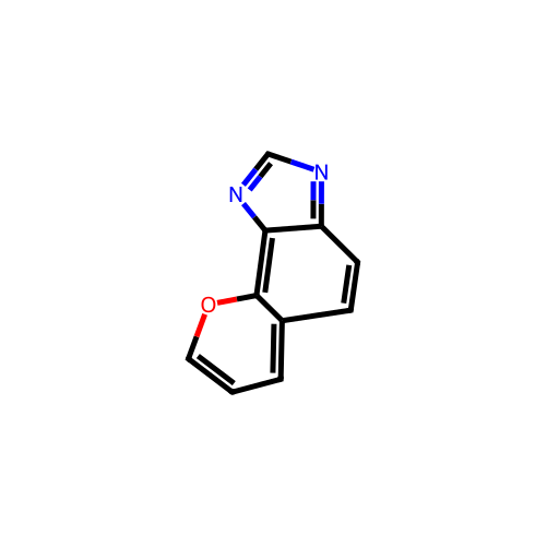 c1coc2c(c1)ccc1ncnc12